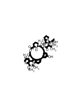 CCn1c(-c2cccnc2[C@H](C)OC)c2c3cc(ccc31)-c1cc(O)cc(c1)C[C@H](NC(=O)C(C(C)C)N(C)C(=O)[C@@]1(C)CCCN1C(=O)[C@@H]1CN1)C(=O)N1CCC[C@H](N1)C(=O)OCC(C)(C)C2